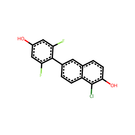 Oc1cc(F)c(-c2ccc3c(Cl)c(O)ccc3c2)c(F)c1